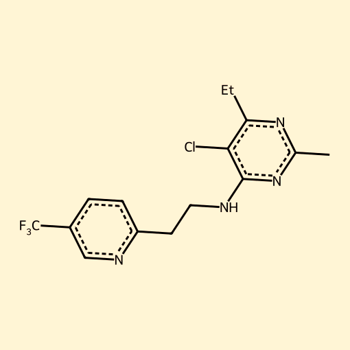 CCc1nc(C)nc(NCCc2ccc(C(F)(F)F)cn2)c1Cl